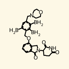 Bc1cc(CN2CCOCC2)c(B)c(B)c1COc1cccc2c1CN(C1CCC(=O)NC1=O)C2=O